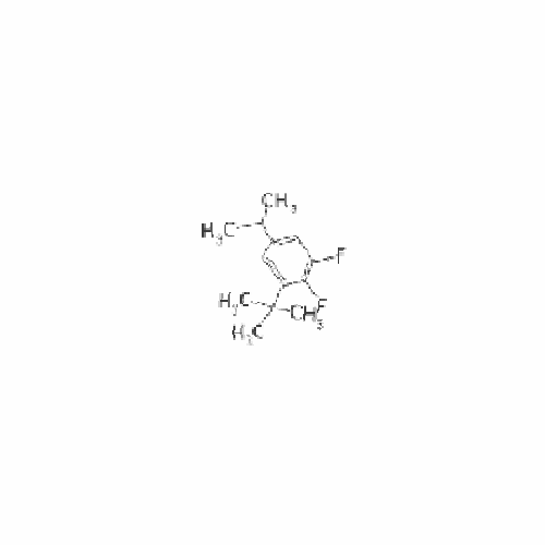 CC(C)c1cc(F)c(F)c(C(C)(C)C)c1